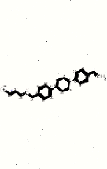 C=Cc1ccc([C@H]2CC[C@H](c3ccc(COC/C=C/CC)cc3)CC2)cc1